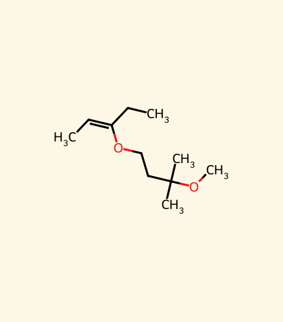 CC=C(CC)OCCC(C)(C)OC